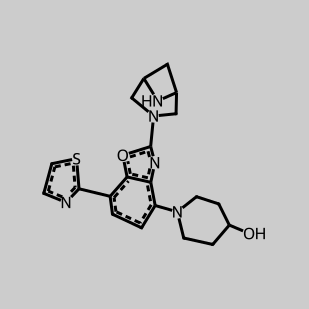 OC1CCN(c2ccc(-c3nccs3)c3oc(N4CC5CC(C4)N5)nc23)CC1